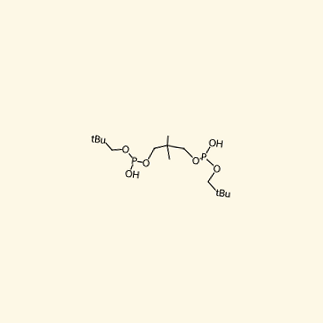 CC(C)(C)COP(O)OCC(C)(C)COP(O)OCC(C)(C)C